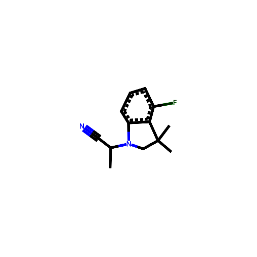 CC(C#N)N1CC(C)(C)c2c(F)cccc21